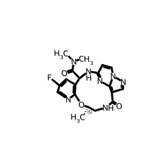 C[C@H]1CNC(=O)c2cnn3ccc(nc23)NC(C(=O)N(C)C)c2cc(F)cnc2O1